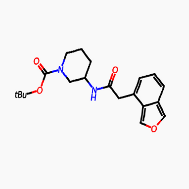 CC(C)(C)OC(=O)N1CCCC(NC(=O)Cc2cccc3cocc23)C1